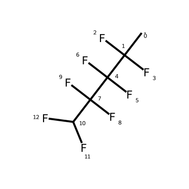 [CH2]C(F)(F)C(F)(F)C(F)(F)C(F)F